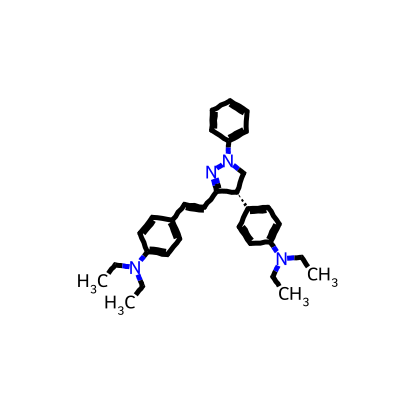 CCN(CC)c1ccc(C=CC2=NN(c3ccccc3)C[C@@H]2c2ccc(N(CC)CC)cc2)cc1